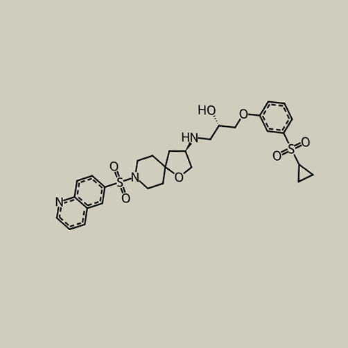 O=S(=O)(c1cccc(OC[C@@H](O)CN[C@H]2COC3(CCN(S(=O)(=O)c4ccc5ncccc5c4)CC3)C2)c1)C1CC1